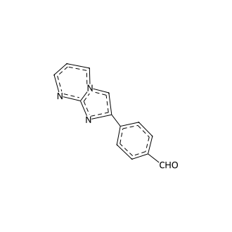 O=Cc1ccc(-c2cn3cccnc3n2)cc1